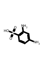 Nc1[c]cc(S(=O)(=O)O)c(N)c1